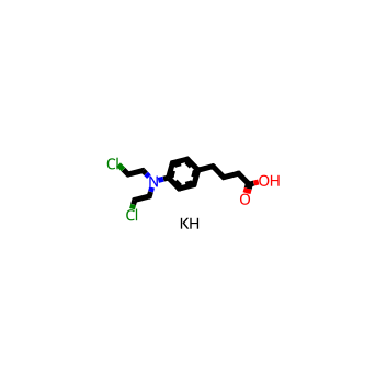 O=C(O)CCCc1ccc(N(CCCl)CCCl)cc1.[KH]